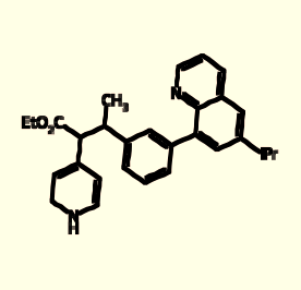 CCOC(=O)C(C1=CCNC=C1)C(C)c1cccc(-c2cc(C(C)C)cc3cccnc23)c1